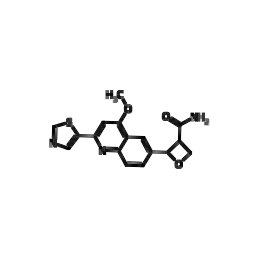 COc1cc(-c2cncs2)nc2ccc(C3OCC3C(N)=O)cc12